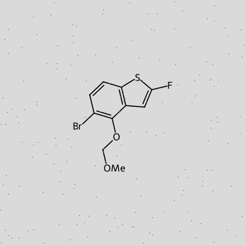 COCOc1c(Br)ccc2sc(F)cc12